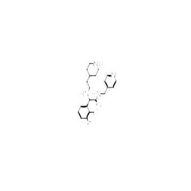 O=C(NCc1ccncc1)C(NCCC1CCNCC1)c1cccc(Cl)c1Cl